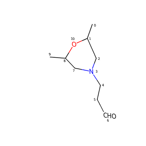 CC1CN(CCC=O)CC(C)O1